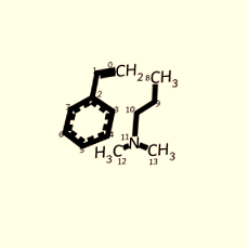 C=Cc1ccccc1.CCCN(C)C